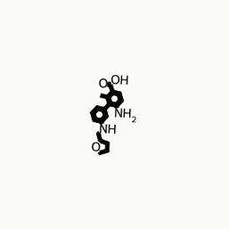 Cc1c(C(=O)O)ccc(N)c1-c1cccc(NCC2CCCO2)c1